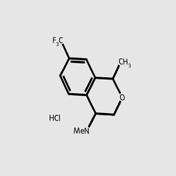 CNC1COC(C)c2cc(C(F)(F)F)ccc21.Cl